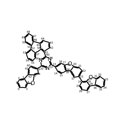 c1ccc2c(c1)oc1cc(-c3nc(-c4ccc5c(c4)oc4ccc(-c6cccc7c6oc6ccccc67)cc45)nc(-c4cccc5c6ccccc6c6ccccc6c45)n3)ccc12